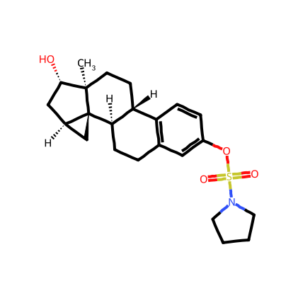 C[C@]12CC[C@@H]3c4ccc(OS(=O)(=O)N5CCCC5)cc4CC[C@H]3[C@@]13C[C@H]3C[C@@H]2O